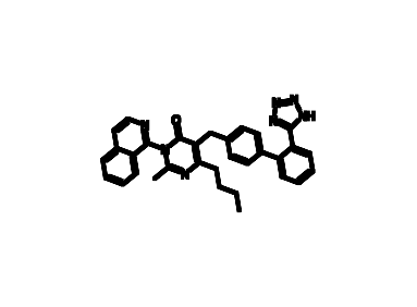 CCCCc1nc(C)n(-c2nccc3ccccc23)c(=O)c1Cc1ccc(-c2ccccc2-c2nnn[nH]2)cc1